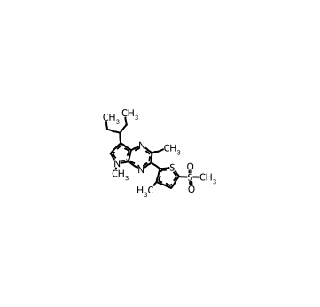 CCC(CC)c1cn(C)c2nc(-c3sc(S(C)(=O)=O)cc3C)c(C)nc12